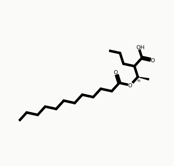 CCCCCCCCCCCC(=O)O[C@H](C)C(CCC)C(=O)O